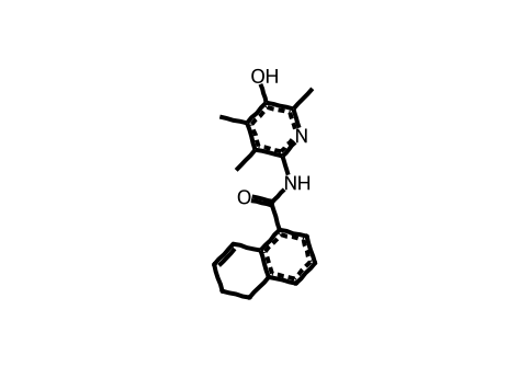 Cc1nc(NC(=O)c2cccc3c2C=CCC3)c(C)c(C)c1O